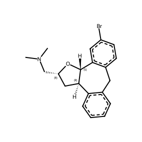 CN(C)C[C@H]1C[C@@H]2c3ccccc3Cc3ccc(Br)cc3[C@H]2O1